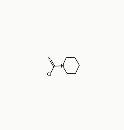 S=C(Cl)N1CCCCC1